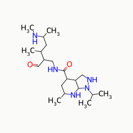 CNC(C)CC(C)C(C=O)CNC(=O)C1CC(C)NC2C1CNN2C(C)C